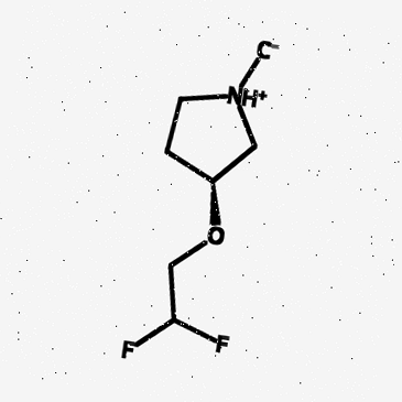 [CH2-][NH+]1CC[C@H](OCC(F)F)C1